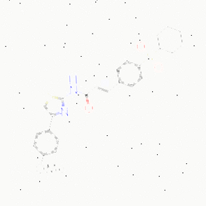 COc1ccc(-c2csc(NC(=O)/C=C/c3ccc(S(=O)(=O)C4CCCCC4)cc3)n2)cc1